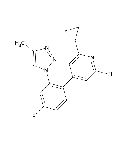 Cc1cn(-c2cc(F)ccc2-c2cc(Cl)nc(C3CC3)c2)nn1